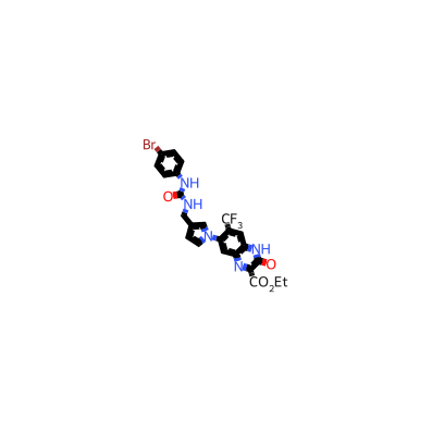 CCOC(=O)c1nc2cc(-n3ccc(CNC(=O)Nc4ccc(Br)cc4)c3)c(C(F)(F)F)cc2[nH]c1=O